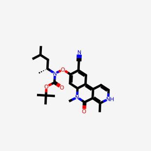 CC1=C2C(=O)N(C)C3C=C(ON(C(=O)OC(C)(C)C)[C@H](C)CC(C)C)C(C#N)=CC3=C2C=CN1